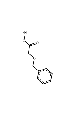 [2H]OC(=O)COCc1ccccc1